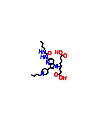 C/C=C/CNC(=O)Nc1ccc2[nH]cc(C3CCN(CCCC)CC3)c2n1.O=C(O)CCCCCCC(=O)O